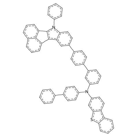 c1ccc(-c2ccc(N(c3cccc(-c4ccc(-c5ccc6c(c5)c5c(n6-c6ccccc6)-c6cccc7cccc-5c67)cc4)c3)c3ccc4c(c3)sc3ccccc34)cc2)cc1